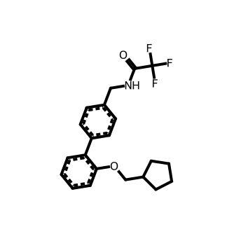 O=C(NCc1ccc(-c2ccccc2OCC2CCCC2)cc1)C(F)(F)F